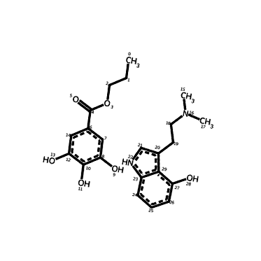 CCCOC(=O)c1cc(O)c(O)c(O)c1.CN(C)CCc1c[nH]c2cccc(O)c12